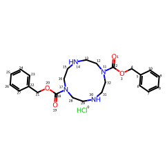 Cl.O=C(OCc1ccccc1)N1CCNCCN(C(=O)OCc2ccccc2)CCNCC1